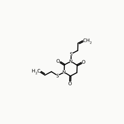 C=CCSN1C(=O)CC(=O)N(SCC=C)C1=O